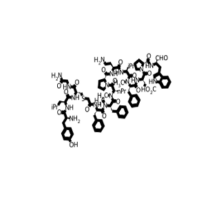 CCC[C@@H](C(=O)N1CCC[C@@H]1C(=O)N[C@@H](CCN)C(=O)N[C@H](C(=O)N(C)[C@@H](Cc1ccccc1)C(=O)N[C@@H](CC(=O)O)C(=O)N1CCC[C@@H]1C(=O)N[C@H](C=O)Cc1c[nH]c2ccccc12)C(C)C)N(C)C(=O)[C@H](Cc1ccccc1)N(C)C(=O)[C@H](Cc1ccccc1)NC(=O)CSC[C@H](NC(=O)[C@H](CC(C)C)NC(=O)[C@@H](N)Cc1ccc(O)cc1)C(=O)NCC(N)=O